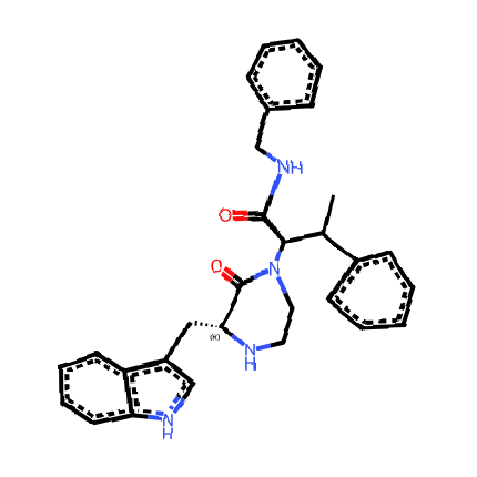 CC(c1ccccc1)C(C(=O)NCc1ccccc1)N1CCN[C@H](Cc2c[nH]c3ccccc23)C1=O